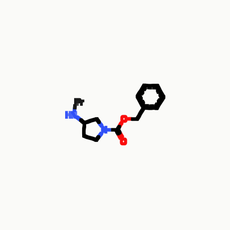 CC(C)NC1CCN(C(=O)OCc2ccccc2)C1